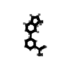 O=C(O)c1cccc(-c2cnc3nn[nH]c3n2)c1